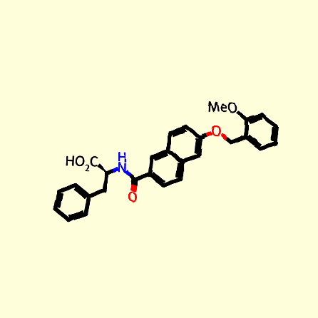 COc1ccccc1COc1ccc2cc(C(=O)N[C@@H](Cc3ccccc3)C(=O)O)ccc2c1